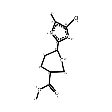 COC(=O)C1CCC(c2nc(C)c(Cl)o2)CC1